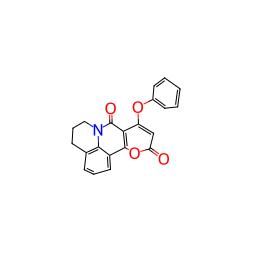 O=c1cc(Oc2ccccc2)c2c(=O)n3c4c(cccc4c2o1)CCC3